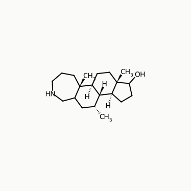 C[C@@H]1CC2CNCCC[C@]2(C)[C@H]2CC[C@]3(C)C(O)CC[C@H]3[C@H]12